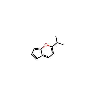 CC(C)c1ccc2cccc-2o1